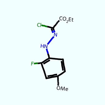 CCOC(=O)/C(Cl)=N/Nc1ccc(OC)cc1F